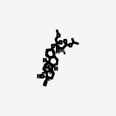 C#C[C@]1(O)CC[C@H]2[C@@H]3CCc4cc(OP(=O)(COC)N[C@@H](C)C(=O)OC(C)C)ccc4[C@H]3CC[C@@]21C